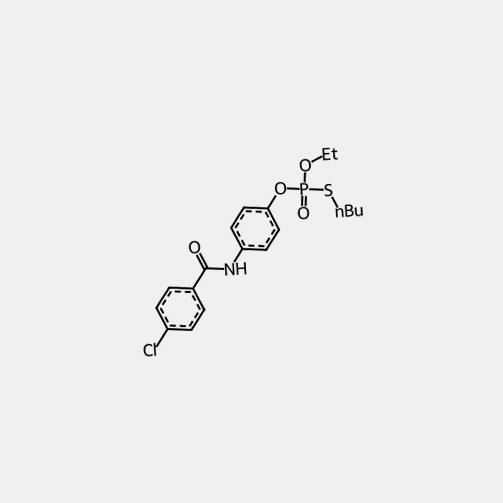 CCCCSP(=O)(OCC)Oc1ccc(NC(=O)c2ccc(Cl)cc2)cc1